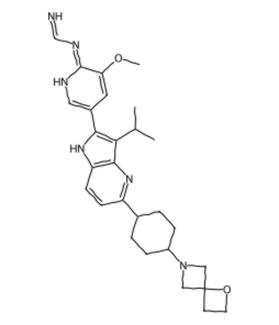 COc1cc(-c2[nH]c3ccc(C4CCC(N5CC6(CCO6)C5)CC4)nc3c2C(C)C)c[nH]/c1=N\C=N